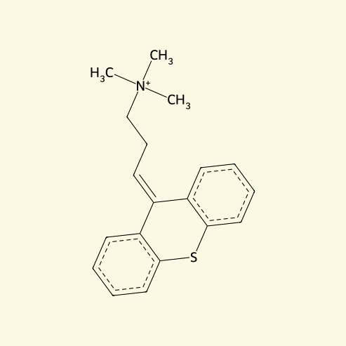 C[N+](C)(C)CCC=C1c2ccccc2Sc2ccccc21